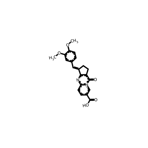 COc1ccc(C=C2CCc3c2nc2ccc(C(=O)O)cn2c3=O)cc1OC